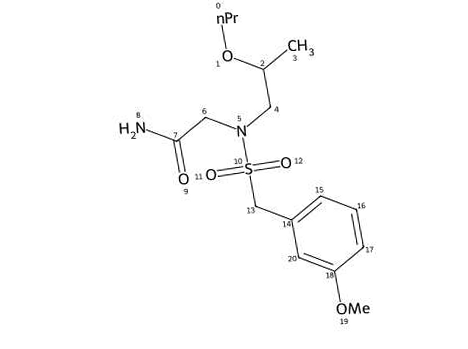 CCCOC(C)CN(CC(N)=O)S(=O)(=O)Cc1cccc(OC)c1